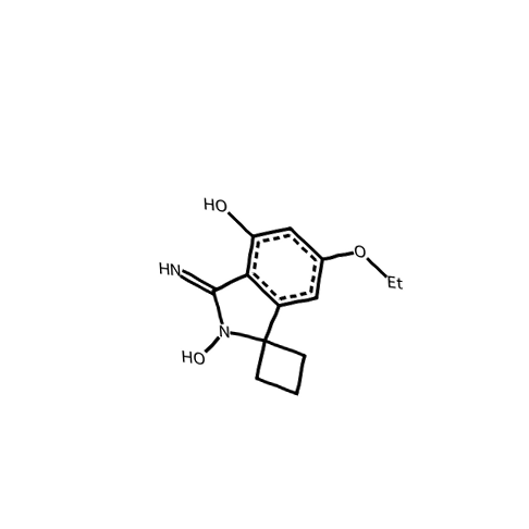 CCOc1cc(O)c2c(c1)C1(CCC1)N(O)C2=N